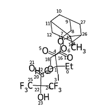 CCC(C)(I)C(=O)OC12CC3CC(C1)C(C)(OC(=O)COC(=O)C(O)(C(F)(F)F)C(F)(F)F)C(C3)C2